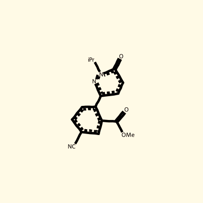 COC(=O)c1cc(C#N)ccc1-c1ccc(=O)n(C(C)C)n1